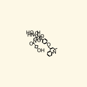 Cc1cc(COc2ccc(S(=O)(=O)NC3(C(=O)NO)CN(C(=O)[C@H]4C[C@H](O)C4)C3)cc2)c2ccccc2n1